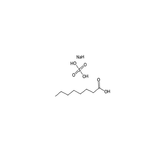 CCCCCCCC(=O)O.O=S(=O)(O)O.[NaH]